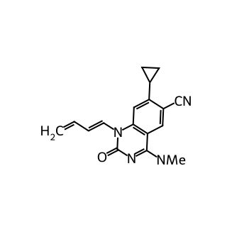 C=C/C=C/n1c(=O)nc(NC)c2cc(C#N)c(C3CC3)cc21